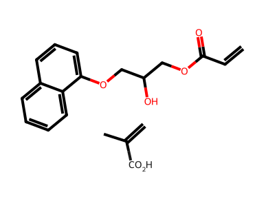 C=C(C)C(=O)O.C=CC(=O)OCC(O)COc1cccc2ccccc12